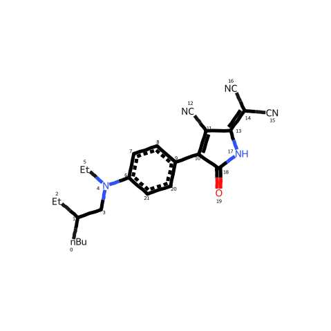 CCCCC(CC)CN(CC)c1ccc(C2=C(C#N)C(=C(C#N)C#N)NC2=O)cc1